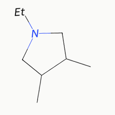 CCN1CC(C)C(C)C1